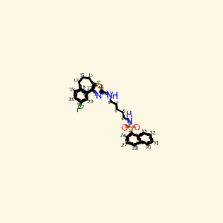 O=S(=O)(NCCCCCNc1nc2c(s1)CCCc1ccc(F)cc1-2)c1cccc2ccccc12